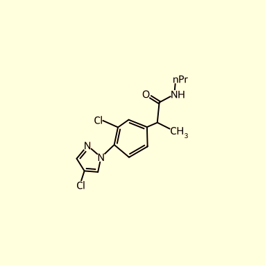 CCCNC(=O)C(C)c1ccc(-n2cc(Cl)cn2)c(Cl)c1